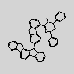 CC1C(c2cccc3oc4cc(-n5c6ccccc6c6ccc7c8ccccc8oc7c65)ccc4c23)=NC(c2ccccc2)CC1c1ccccc1